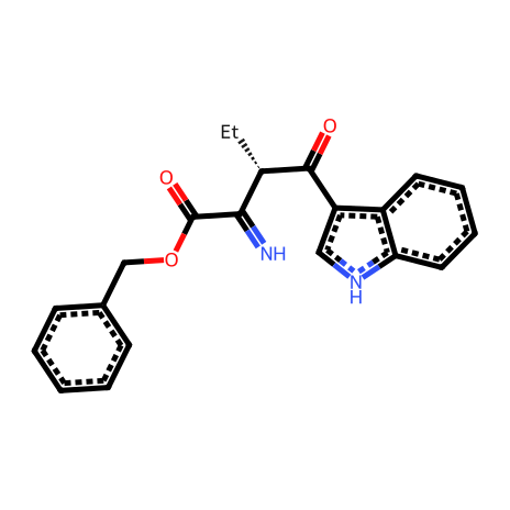 CC[C@@H](C(=N)C(=O)OCc1ccccc1)C(=O)c1c[nH]c2ccccc12